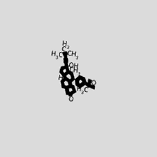 CC(C)(C)C#C[C@]1(O)CCC2[C@@H]3CCC4=CC(=O)CCC4=C3[C@@H](c3ccc(C4(C)COC4)cc3)C[C@@]21C